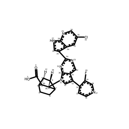 O=C(O)[C@@H]1C2CCC(CC2)[C@H]1n1cc(-c2ccncc2F)c2cnc(-c3c[nH]c4ncc(Cl)cc34)nc21